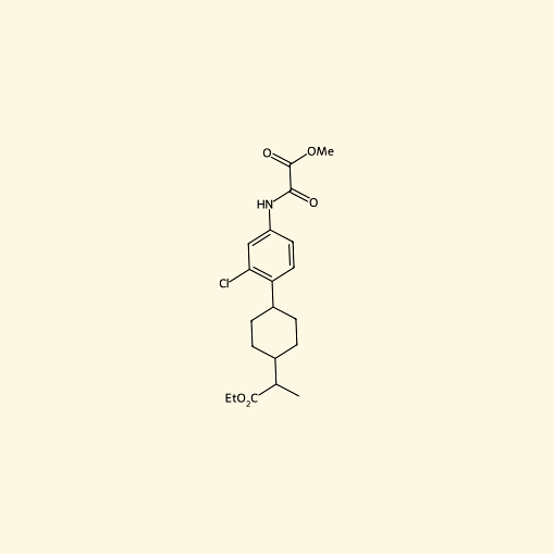 CCOC(=O)C(C)C1CCC(c2ccc(NC(=O)C(=O)OC)cc2Cl)CC1